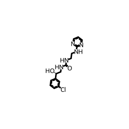 O=C(NCCNc1ncccn1)NC[C@@H](O)c1cccc(Cl)c1